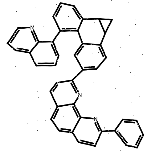 c1ccc(-c2ccc3ccc4ccc(-c5ccc6c(c5)-c5c(-c7cccc8cccnc78)cccc5C5CC65)nc4c3n2)cc1